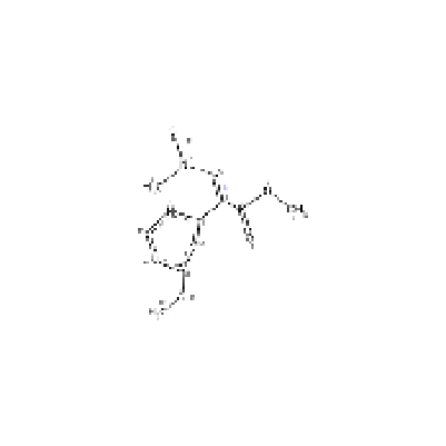 COC(=O)/C(=C/N(C)C)c1cc(SC)ncn1